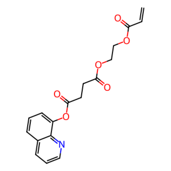 C=CC(=O)OCCOC(=O)CCC(=O)Oc1cccc2cccnc12